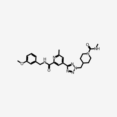 CNC(=O)N1CCC(Cn2nnc(-c3cc(C)nc(C(=O)NCc4cccc(OC)c4)c3)n2)CC1